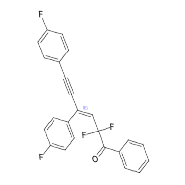 O=C(c1ccccc1)C(F)(F)/C=C(/C#Cc1ccc(F)cc1)c1ccc(F)cc1